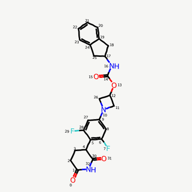 O=C1CCC(c2c(F)cc(N3CC(OC(=O)NC4Cc5ccccc5C4)C3)cc2F)C(=O)N1